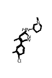 Cc1cc(-c2nnc(N[C@@H]3CCCN(C)C3)cc2C)ccc1Cl